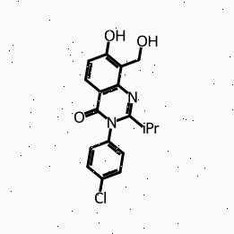 CC(C)c1nc2c(CO)c(O)ccc2c(=O)n1-c1ccc(Cl)cc1